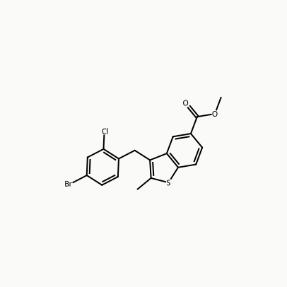 COC(=O)c1ccc2sc(C)c(Cc3ccc(Br)cc3Cl)c2c1